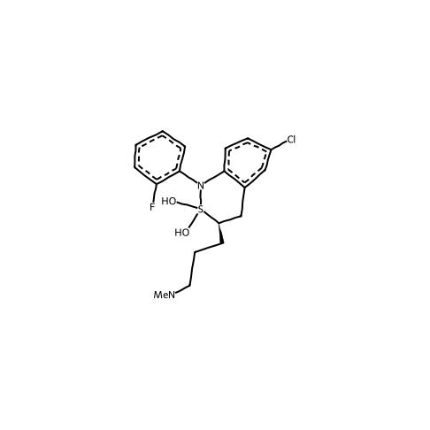 CNCCC[C@@H]1Cc2cc(Cl)ccc2N(c2ccccc2F)S1(O)O